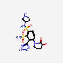 NS(=O)(=O)c1c(S(=O)(=O)N[C@@H]2CCNC2)ccc(N2CCCC(=O)C2=O)c1-c1nn[nH]n1